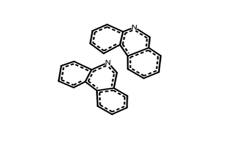 c1ccc2c(c1)cnc1ccccc12.c1ccc2c(c1)cnc1ccccc12